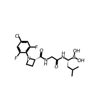 CC(C)C[C@H](NC(=O)CNC(=O)[C@@H]1CCN1c1c(F)cc(Cl)cc1F)B(O)O